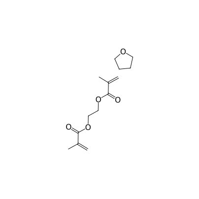 C1CCOC1.C=C(C)C(=O)OCCOC(=O)C(=C)C